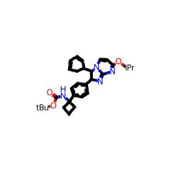 CC(C)OC1=NC2=NC(c3ccc(C4(NC(=O)OC(C)(C)C)CCC4)cc3)C(C3C=CC=CC3)N2C=C1